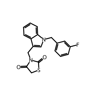 O=C1CSC(=O)N1Cc1cn(Cc2cccc(F)c2)c2ccccc12